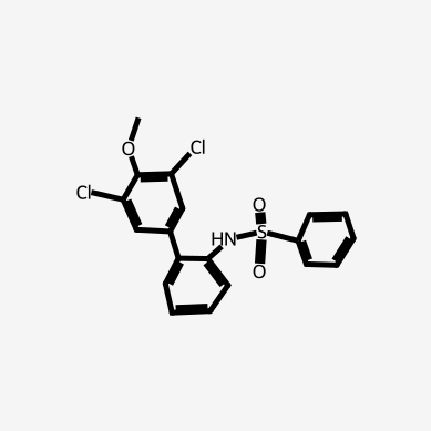 COc1c(Cl)cc(-c2ccccc2NS(=O)(=O)c2ccccc2)cc1Cl